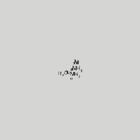 N.N.O.[Ni]